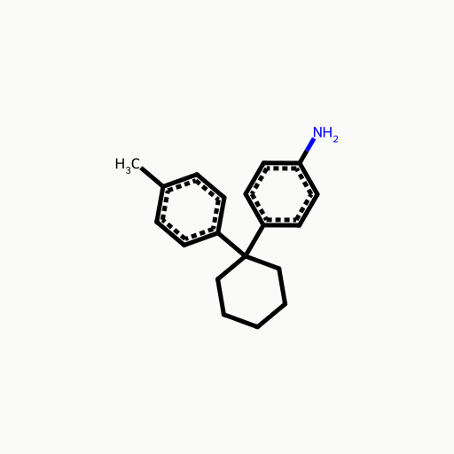 Cc1ccc(C2(c3ccc(N)cc3)CCCCC2)cc1